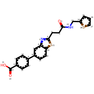 O=C(CCc1nc2cc(-c3ccc(C(=O)O)cc3)ccc2s1)NCc1cccs1